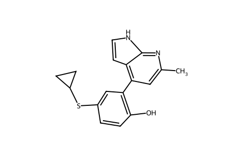 Cc1cc(-c2cc(SC3CC3)ccc2O)c2cc[nH]c2n1